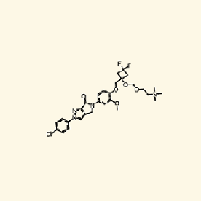 COc1cc(N2Cc3cn(-c4ccc(Cl)cc4)nc3C2=O)ccc1OCC1(OCOCC[Si](C)(C)C)CC(F)(F)C1